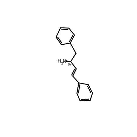 N[C@H](C=Cc1ccccc1)Cc1ccccc1